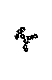 c1ccc2cc3c(ccc4c3nc3c5sc6c7ccccc7ccc6c5cc(-c5ccc(-c6c7ncccc7nc7oc8ccccc8c67)cc5)n43)cc2c1